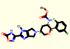 CCn1c(-c2noc(=O)[nH]2)nc2c1CN([C@H]1CO[C@H](c3cc(F)ccc3F)[C@@H](NC(=O)OC(C)(C)C)C1)C2